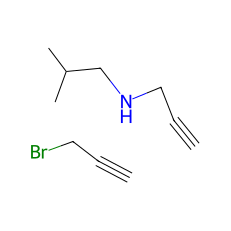 C#CCBr.C#CCNCC(C)C